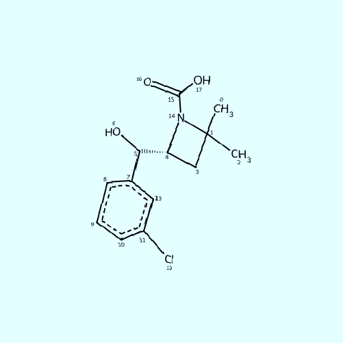 CC1(C)C[C@H](C(O)c2cccc(Cl)c2)N1C(=O)O